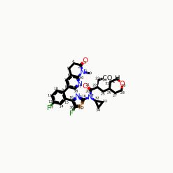 CN1C(=O)CCc2cc(-c3ccc(F)cc3-c3nc(N(C(=O)[C@@H](CC(=O)O)CC4CCOCC4)C4CC4)sc3F)cnc21